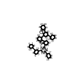 c1ccc(-c2cccc(-c3nc(-c4ccccc4)nc(-c4cccc5c4sc4cccc(-c6cc(-c7ccccc7)cc7c6oc6ccccc67)c45)n3)c2)cc1